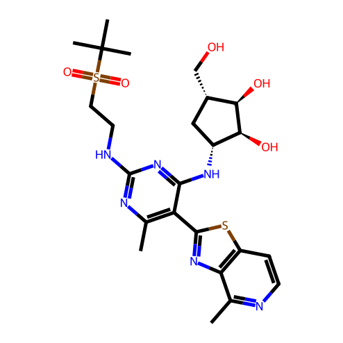 Cc1nc(NCCS(=O)(=O)C(C)(C)C)nc(N[C@@H]2C[C@H](CO)[C@@H](O)[C@H]2O)c1-c1nc2c(C)nccc2s1